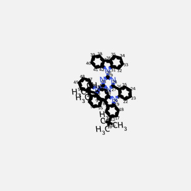 CC(C)(C)c1ccc2c(c1)c1cc(C(C)(C)C)ccc1n2-c1ccccc1-c1nc(-n2c3ccccc3c3ccccc32)nc(-n2c3ccccc3c3ccccc32)n1